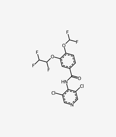 O=C(Nc1c(Cl)cncc1Cl)c1ccc(OC(F)F)c(OC(F)C(F)F)c1